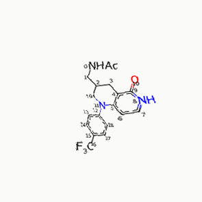 CC(=O)NCC1Cc2c(cc[nH]c2=O)N(c2ccc(C(F)(F)F)cc2)C1